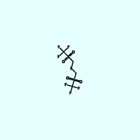 O=S(=O)(CSCS(=O)(=O)C(F)(F)F)C(F)(F)F